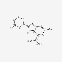 CN1CCCC(n2cc3cc(F)cc(C(N)=O)c3n2)C1